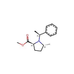 COC(=O)[C@@H]1CC[C@@H](C)N1[C@@H](C)c1ccccc1